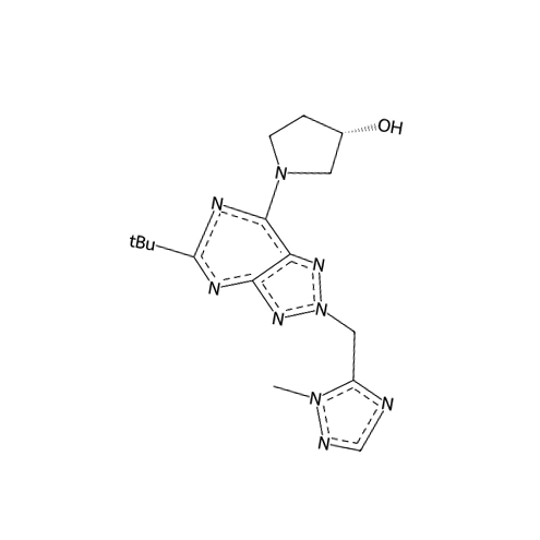 Cn1ncnc1Cn1nc2nc(C(C)(C)C)nc(N3CC[C@H](O)C3)c2n1